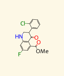 COC(=O)c1cc(F)cc2c1C(=O)C(c1ccccc1Cl)CN2